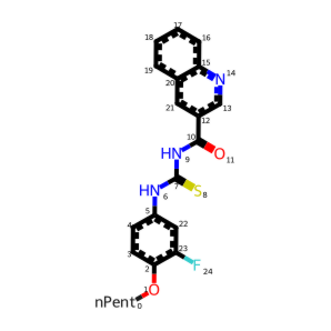 CCCCCOc1ccc(NC(=S)NC(=O)c2cnc3ccccc3c2)cc1F